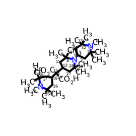 CN1C(C)(C)CC(N2C(C)(C)CC(C(C(=O)O)(C(=O)O)C3CC(C)(C)N(C)C(C)(C)C3)CC2(C)C)CC1(C)C